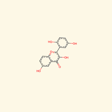 O=c1c(O)c(-c2cc(O)ccc2O)oc2ccc(O)cc12